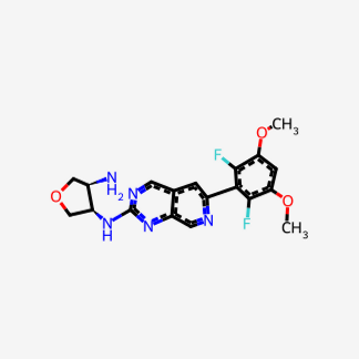 COc1cc(OC)c(F)c(-c2cc3cnc(N[C@H]4COC[C@H]4N)nc3cn2)c1F